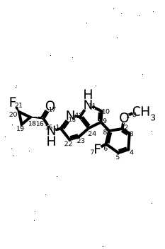 COc1cccc(F)c1-c1c[nH]c2nc(NC(=O)[C@H]3C[C@H]3F)ccc12